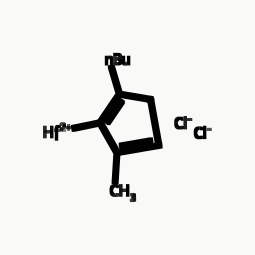 CCCCC1=[C]([Hf+2])C(C)=CC1.[Cl-].[Cl-]